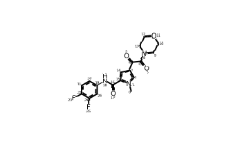 Cn1cc(C(=O)C(=O)N2CCOCC2)cc1C(=O)Nc1ccc(F)c(F)c1